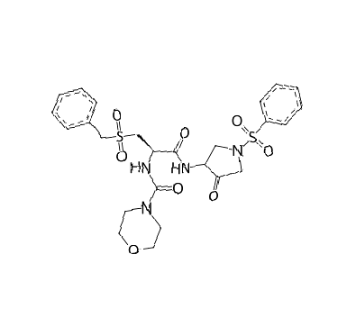 O=C1CN(S(=O)(=O)c2ccccc2)CC1NC(=O)[C@H](CS(=O)(=O)Cc1ccccc1)NC(=O)N1CCOCC1